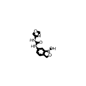 O=C(Nc1ccc2c(c1)B(O)OC2)Nc1cocn1